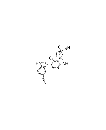 C[C@]1(C#N)CC[C@]2(CNc3ncc(-c4c[nH]c5ccc(C#N)cc45)c(Cl)c32)C1